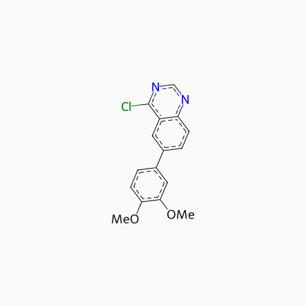 COc1ccc(-c2ccc3ncnc(Cl)c3c2)cc1OC